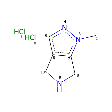 Cl.Cl.Cn1ncc2c1CNC2